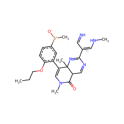 CCCOc1ccc([S+](C)[O-])cc1C1=CN(C)C(=O)C2C=NC(/C(C=N)=C/NC)=NC12C